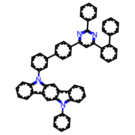 c1ccc(-c2nc(-c3ccc(-c4cccc(-n5c6ccccc6c6cc7c(cc65)c5ccccc5n7-c5ccccc5)c4)cc3)cc(-c3ccccc3-c3ccccc3)n2)cc1